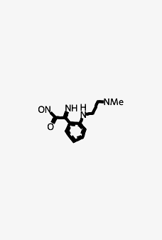 CNCCNc1ccccc1C(=N)C(=O)N=O